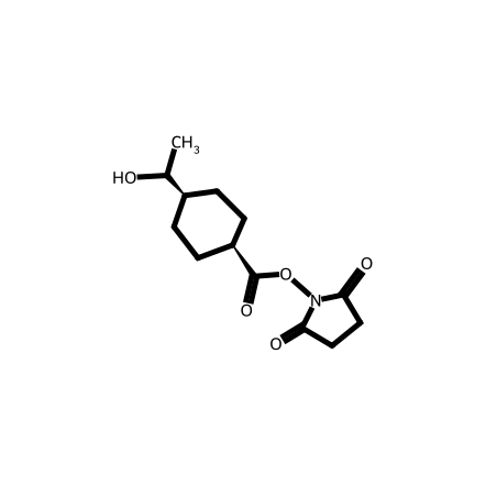 CC(O)[C@H]1CC[C@@H](C(=O)ON2C(=O)CCC2=O)CC1